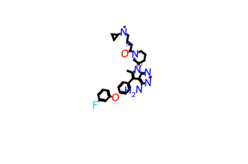 Cc1c(-c2ccc(Oc3cccc(F)c3)cc2)c2c(N)ncnc2n1[C@@H]1CCCN(C(=O)/C=C/CN(C)C2CC2)C1